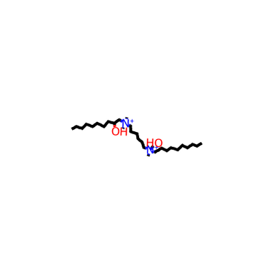 CCCCCCCCC(O)C[N+](C)(C)CCCCCC[N+](C)(C)C[C@@H](O)CCCCCCCC